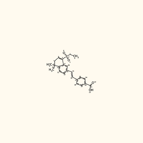 CCS(=O)(=O)C1=CCC(C)(C)c2ccc(C=Cc3ccc(C(=O)O)cc3)cc21